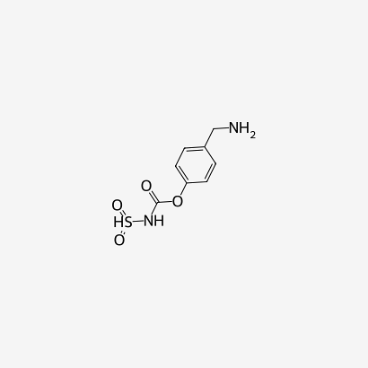 NCc1ccc(OC(=O)N[SH](=O)=O)cc1